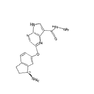 CCCNC(=O)c1c[nH]c2ncc(Oc3ccc4c(c3)[C@@H](NC(C)=O)CC4)nc12